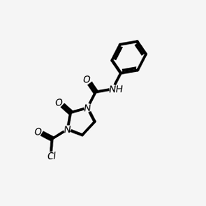 O=C(Cl)N1CCN(C(=O)Nc2ccccc2)C1=O